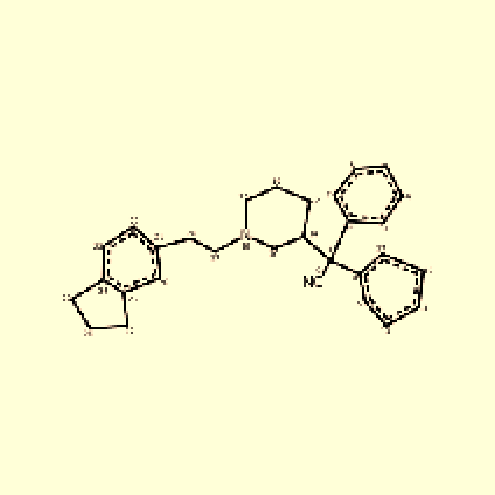 N#CC(c1ccccc1)(c1ccccc1)C1CCCN(CCc2ccc3c(c2)CCC3)C1